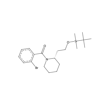 CC(C)(C)[Si](C)(C)OCC[C@@H]1CCCCN1C(=O)c1ccccc1Br